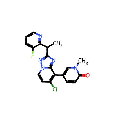 CC(c1nc2c(-c3ccc(=O)n(C)c3)c(Cl)ccn2n1)c1ncccc1F